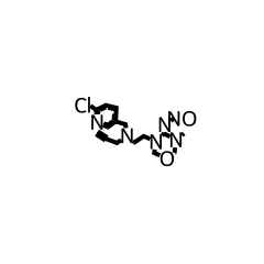 C#CCN(CCN1COCN(C)/C1=N\N=O)Cc1ccc(Cl)nc1